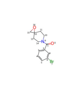 O=C(c1cccc(Br)c1)N1CCC2(CC1)CO2